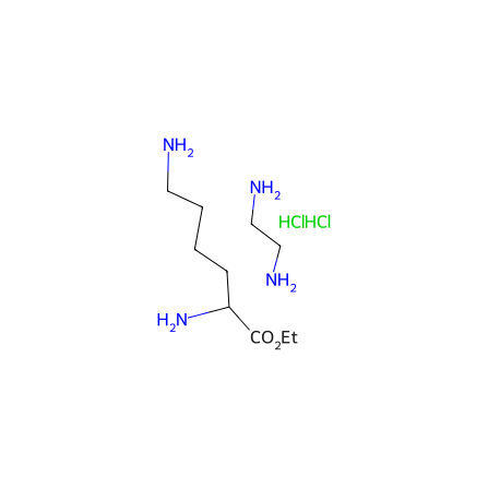 CCOC(=O)C(N)CCCCN.Cl.Cl.NCCN